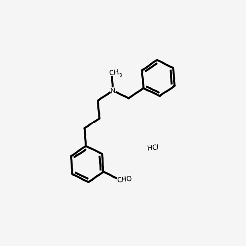 CN(CCCc1cccc(C=O)c1)Cc1ccccc1.Cl